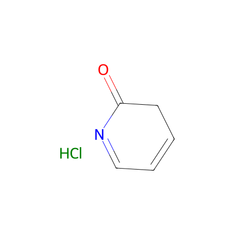 Cl.O=C1CC=CC=N1